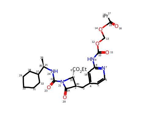 CCOC(=O)[C@@H]1[C@@H](Cc2ccnc(NC(=O)OCOC(=O)C(C)C)c2)C(=O)N1C(=O)N[C@H](C)C1CCCCC1